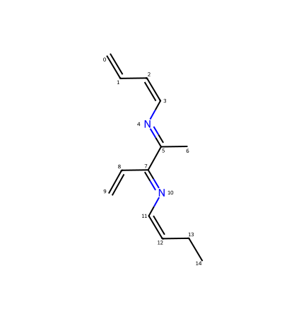 C=C\C=C/N=C(C)/C(C=C)=N/C=C\CC